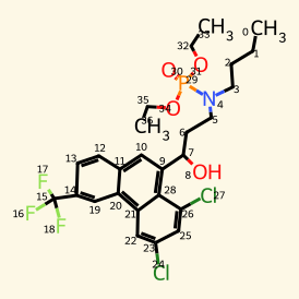 CCCCN(CCC(O)c1cc2ccc(C(F)(F)F)cc2c2cc(Cl)cc(Cl)c12)P(=O)(OCC)OCC